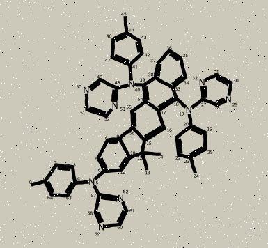 Cc1ccc(N(c2ccc3c(c2)C(C)(C)c2cc4c(N(c5ccc(C)cc5)c5cnccn5)c5ccccc5c(N(c5ccc(C)cc5)c5cnccn5)c4cc2-3)c2cnccn2)cc1